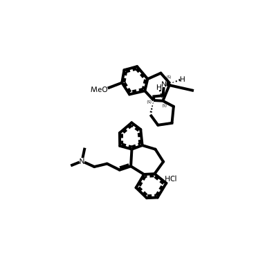 CN(C)CCC=C1c2ccccc2CCc2ccccc21.COc1ccc2c(c1)[C@]13CCCC[C@@H]1[C@H](C2)N(C)CC3.Cl